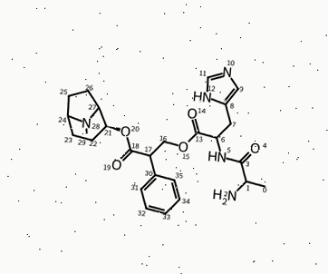 CC(N)C(=O)NC(Cc1cnc[nH]1)C(=O)OCC(C(=O)O[C@H]1CCC2CCC1N2C)c1ccccc1